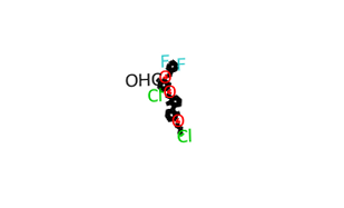 Cc1c(COc2cc(OCc3cc(F)cc(F)c3)c(C=O)cc2Cl)cccc1-c1cccc(OCCCCl)c1C